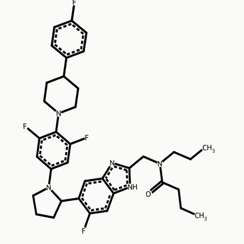 CCCC(=O)N(CCC)Cc1nc2cc(C3CCCN3c3cc(F)c(N4CCC(c5ccc(F)cc5)CC4)c(F)c3)c(F)cc2[nH]1